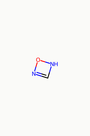 c1no[nH]1